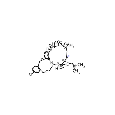 CN(C)CO[C@H]1/C=C/CN(C)C(C)(C)C(=O)NS(=O)(=O)c2ccc3c(c2)N(CCCCc2cc(Cl)ccc2CO3)C[C@@H]2CC[C@H]21